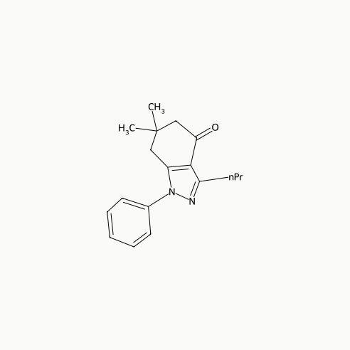 CCCc1nn(-c2ccccc2)c2c1C(=O)CC(C)(C)C2